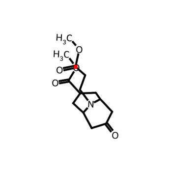 COC(=O)CCN1C2CC(=O)CC1CC(C(=O)OC)C2